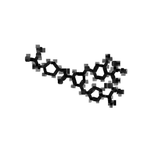 CC(=O)N(O)C(=N)c1ccc(Oc2cc(Oc3ccc(C(=N)N(O)C(C)=O)c(C)c3)cc(C(=O)NC3CCC(NC(=O)OC(C)(C)C)CC3)c2)cc1